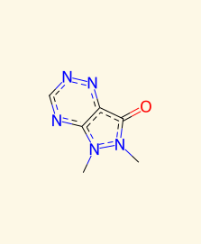 Cn1c(=O)c2nncnc2n1C